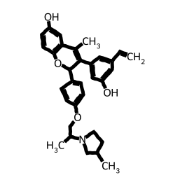 C=Cc1cc(O)cc(C2=C(C)c3cc(O)ccc3OC2c2ccc(OCC(C)N3CCC(C)C3)cc2)c1